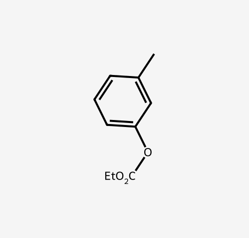 CCOC(=O)Oc1cccc(C)c1